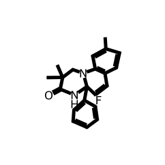 Cc1ccc2c(c1)N1CC(C)(C)C(=O)NC1(c1ccccc1)C(F)=C2